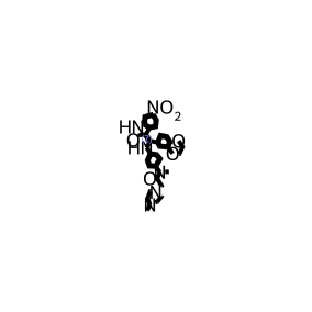 CN1CCN(CC(=O)N(C)c2ccc(N/C(=C3\C(=O)Nc4cc([N+](=O)[O-])ccc43)c3ccc4c(c3)OCCO4)cc2)CC1